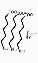 CC(C)(C)CCCCCC(=O)[O-].CC(C)(C)CCCCCC(=O)[O-].CC(C)(C)CCCCCC(=O)[O-].CC(C)[O-].[Ti+4]